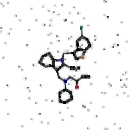 COC(=O)CN(Cc1c(C(=O)O)n(Cc2csc3ccc(F)cc23)c2ccccc12)c1ccccc1